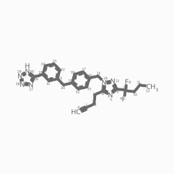 C#CCCc1nc(C(F)(F)CCC)nn1Cc1ccc(Cc2cccc(-c3nnn[nH]3)c2)cc1